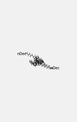 CCCCCCCCCCCCCCCCCC(=O)OC(C)(C)[N+](C)(C)C(C)(C)OC(=O)CCCCCCCCCCCCCCCCC.[Cl-]